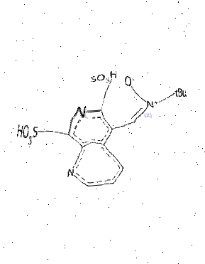 CC(C)(C)/[N+]([O-])=C/c1c(S(=O)(=O)O)nc(S(=O)(=O)O)c2ncccc12